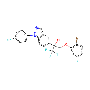 OC(COc1cc(F)ccc1Br)(c1ccc2c(cnn2-c2ccc(F)cc2)c1)C(F)(F)F